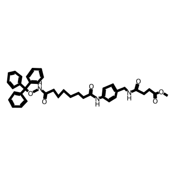 COC(=O)CCC(=O)NCc1ccc(NC(=O)CCCCCCC(=O)NOC(c2ccccc2)(c2ccccc2)c2ccccc2)cc1